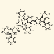 c1ccc(N2c3ccc(-c4ccc5c(c4)c4ccccc4n5-c4ccccc4)cc3N(c3ccccc3)c3cc(-c4ccc5c(c4)c4ccccc4n5-c4ccccc4)ccc32)cc1